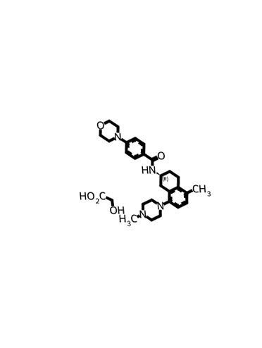 Cc1ccc(N2CCN(C)CC2)c2c1CC[C@@H](NC(=O)c1ccc(N3CCOCC3)cc1)C2.O=C(O)CO